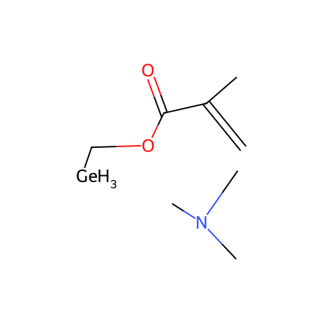 C=C(C)C(=O)O[CH2][GeH3].CN(C)C